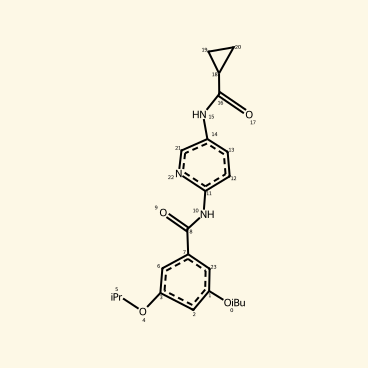 CC(C)COc1cc(OC(C)C)cc(C(=O)Nc2ccc(NC(=O)C3CC3)cn2)c1